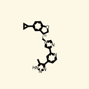 Cc1[nH]nnc1-c1ccnc(-c2cn(C[C@H]3COc4ccc(C5CC5)cc43)cn2)c1